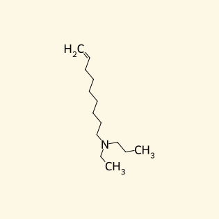 C=CCCCCCCCN(CC)CCC